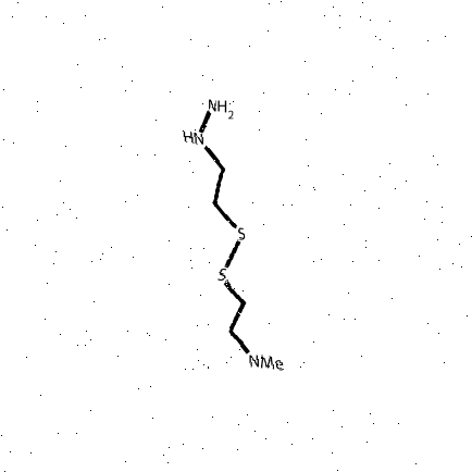 CNCCSSCCNN